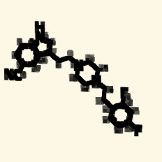 N#Cc1ccc2[nH]cc(CCN3CCN(CCc4ccc(F)cc4F)CC3)c2c1